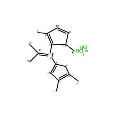 CC1=C(C)C[C]([Hf]([C]2=C(C)C=CC2C)=[C](C)C)=C1.Cl.Cl